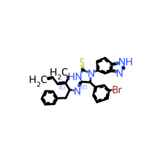 C=C/C=C(\C=C)C(Cc1ccccc1)/N=C1\NC(=S)N(c2ccc3[nH]cnc3c2)C1c1cccc(Br)c1